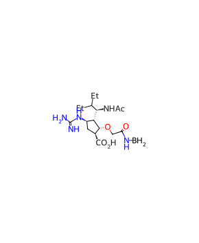 BNC(=O)CO[C@H]1[C@@H]([C@H](NC(C)=O)C(CC)CC)[C@H](NC(=N)N)C[C@@H]1C(=O)O